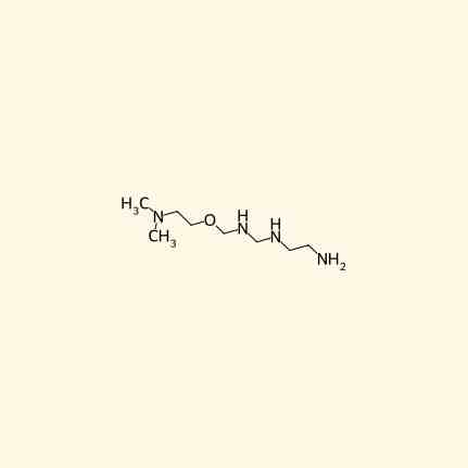 CN(C)CCOCNCNCCN